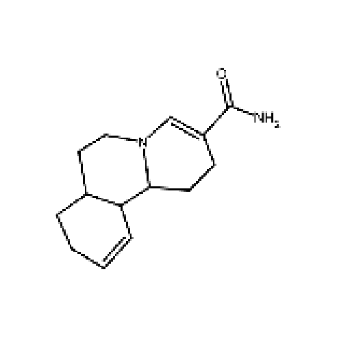 NC(=O)C1=CN2CCC3CCC=CC3C2CC1